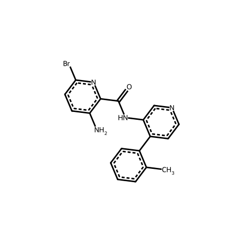 Cc1ccccc1-c1ccncc1NC(=O)c1nc(Br)ccc1N